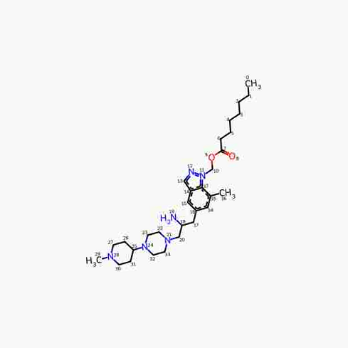 CCCCCCCC(=O)OCn1ncc2cc(CC(N)CN3CCN(C4CCN(C)CC4)CC3)cc(C)c21